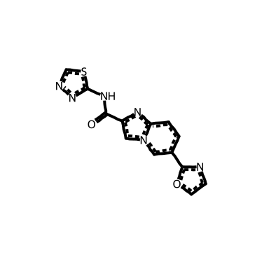 O=C(Nc1nncs1)c1cn2cc(-c3ncco3)ccc2n1